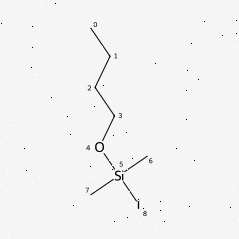 CCCCO[Si](C)(C)I